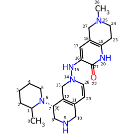 CC1CCCCN1[C@H]1CNCC2=C1CN(Nc1cc3c([nH]c1=O)CCN(C)C3)C=C2